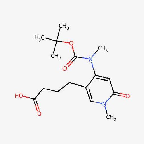 CN(C(=O)OC(C)(C)C)c1cc(=O)n(C)cc1CCCC(=O)O